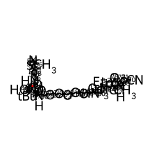 CCc1cc2c(cc1N1CCC(NC(=O)CCOCCOCCOCCOCCOCCC(=O)N[C@H](C(=O)N3C[C@H](O)C[C@H]3C(=O)NCc3ccc(-c4scnc4C)cc3)C(C)(C)C)CC1)C(C)(C)c1[nH]c3cc(C#N)ccc3c1C2=O